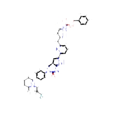 CCCC1CCC[C@@H](c2ccc(-n3cc4cc(-c5cccc(CCC[C@H](C)NC(=O)OCc6ccccc6)n5)[nH]c4nc3=O)cc2)N1CCCF